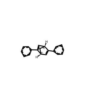 C1=C(c2ccccc2)[C@H]2C=C(c3ccccc3)[C@@H]1C2